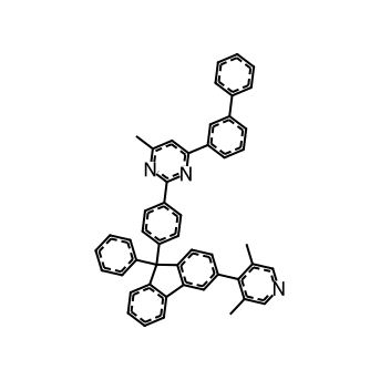 Cc1cc(-c2cccc(-c3ccccc3)c2)nc(-c2ccc(C3(c4ccccc4)c4ccccc4-c4cc(-c5c(C)cncc5C)ccc43)cc2)n1